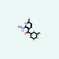 CCNc1nc(C)ccc1C(=O)C1CCCC(C)C1